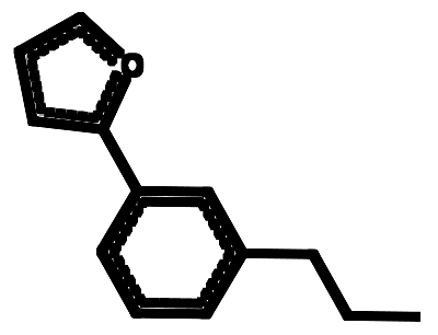 CCCc1cccc(-c2ccco2)c1